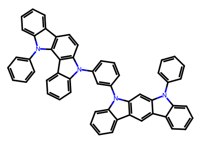 c1ccc(-n2c3ccccc3c3cc4c5ccccc5n(-c5cccc(-n6c7ccccc7c7c6ccc6c8ccccc8n(-c8ccccc8)c67)c5)c4cc32)cc1